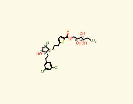 CC[C@@H](O)[C@H](O)[C@H](O)COC(=O)c1ccc(CCC[C@@H]2[C@@H](CCc3cc(Cl)cc(Cl)c3)[C@H](O)C[C@H]2Cl)s1